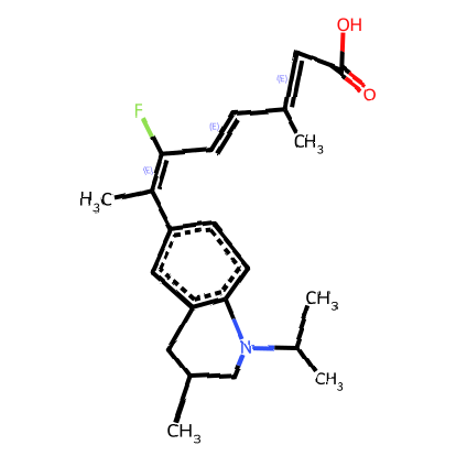 CC(/C=C/C(F)=C(/C)c1ccc2c(c1)CC(C)CN2C(C)C)=C\C(=O)O